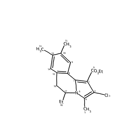 CCOC(=O)c1c(Cl)c(C)n2c1-c1cc(C)c(C)cc1CC2CC